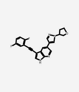 Fc1ccc(F)c(C#Cc2c[nH]c3ncc(-c4cnn(C5CCOC5)c4)cc23)c1